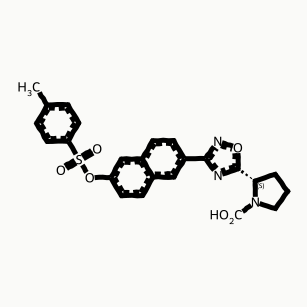 Cc1ccc(S(=O)(=O)Oc2ccc3cc(-c4noc([C@@H]5CCCN5C(=O)O)n4)ccc3c2)cc1